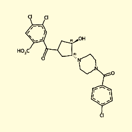 O=C(O)c1cc(Cl)c(Cl)cc1C(=O)C1C[C@@H](O)[C@H](N2CCN(C(=O)c3ccc(Cl)cc3)CC2)C1